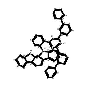 c1ccc(-c2cccc(-c3nc(-c4cccc(-c5ccccc5)c4)nc(-c4ccccc4-n4c5ccccc5c5ccc6c7ccccc7sc6c54)n3)c2)cc1